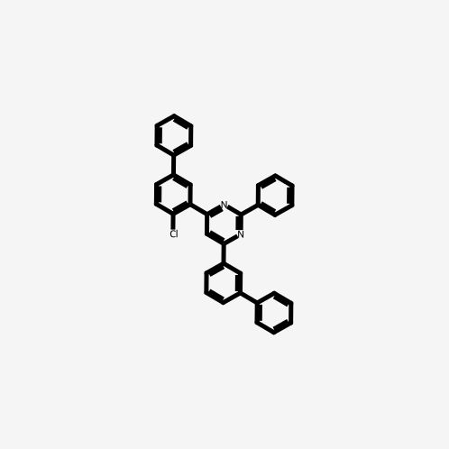 Clc1ccc(-c2ccccc2)cc1-c1cc(-c2cccc(-c3ccccc3)c2)nc(-c2ccccc2)n1